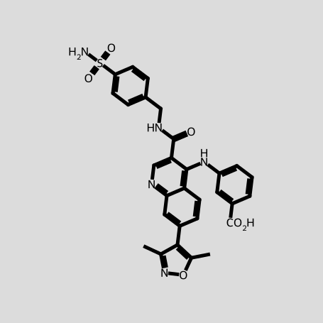 Cc1noc(C)c1-c1ccc2c(Nc3cccc(C(=O)O)c3)c(C(=O)NCc3ccc(S(N)(=O)=O)cc3)cnc2c1